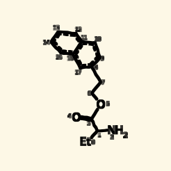 CCC(N)C(=O)OCCc1ccc2ccccc2c1